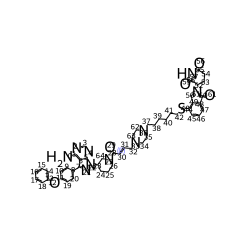 Nc1ncnc2c1c(-c1ccc(Oc3ccccc3)cc1)nn2C1CCCN(C(=O)/C=C/CN2CCN(CCCCCCSc3cccc4c3CN(C3CCC(=O)NC3=O)C4=O)CC2)C1